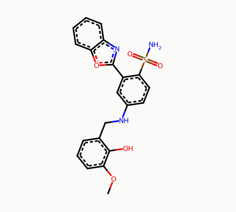 COc1cccc(CNc2ccc(S(N)(=O)=O)c(-c3nc4ccccc4o3)c2)c1O